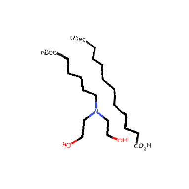 CCCCCCCCCCCCCCCCCCCC(=O)O.CCCCCCCCCCCCCCCN(CCO)CCO